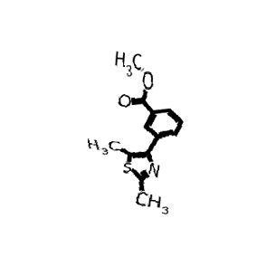 COC(=O)c1cccc(-c2nc(C)sc2C)c1